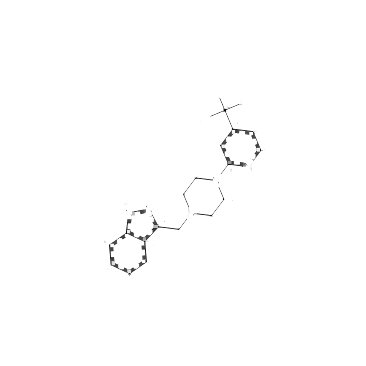 FC(F)(F)c1ccnc(N2CCN(Cc3n[nH]c4ccccc34)CC2)c1